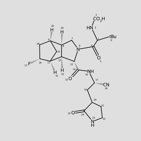 CC(C)(C)C(NC(=O)O)C(=O)N1C[C@@H]2[C@H]3C[C@@H]([C@@H]2[C@H]1C(=O)N[C@H](C#N)CC1CCNC1=O)[C@H](F)C3